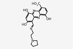 O=C(O)c1ccc(O)c2nc3c(C=NCCN4CCCC4)c(O)cc(O)c3nc12